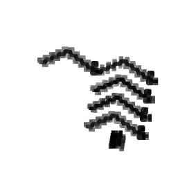 CCCCCCCC/C=C\CCCCCCCC(=O)O.CCCCCCCC/C=C\CCCCCCCC(=O)O.CCCCCCCC/C=C\CCCCCCCC(=O)O.CCCCCCCC/C=C\CCCCCCCC(=O)O.CCCCCCCC/C=C\CCCCCCCC(=O)O.N.N.N.N.N